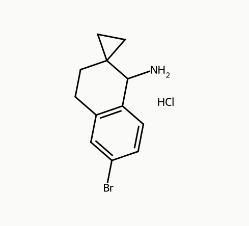 Cl.NC1c2ccc(Br)cc2CCC12CC2